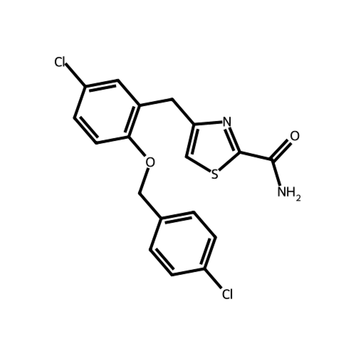 NC(=O)c1nc(Cc2cc(Cl)ccc2OCc2ccc(Cl)cc2)cs1